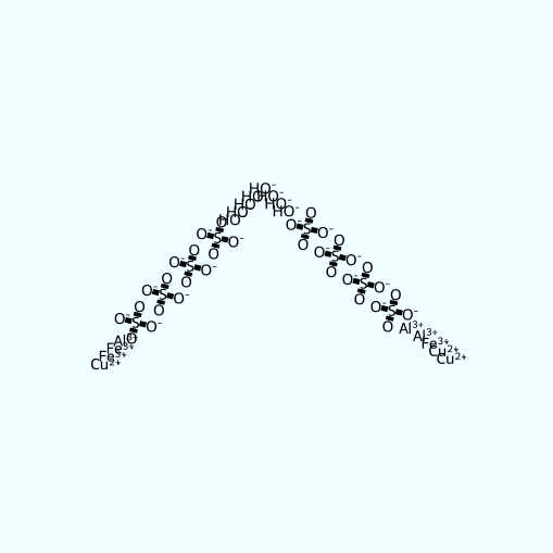 O=S(=O)([O-])[O-].O=S(=O)([O-])[O-].O=S(=O)([O-])[O-].O=S(=O)([O-])[O-].O=S(=O)([O-])[O-].O=S(=O)([O-])[O-].O=S(=O)([O-])[O-].O=S(=O)([O-])[O-].[Al+3].[Al+3].[Al+3].[Cu+2].[Cu+2].[Cu+2].[Fe+3].[Fe+3].[Fe+3].[OH-].[OH-].[OH-].[OH-].[OH-].[OH-].[OH-].[OH-]